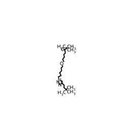 CC(C)(C)CCc1cn(CCCCCCOCCCCCC(=O)C(C)(C)C)nn1